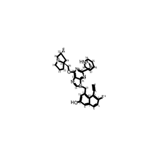 C#Cc1c(F)ccc2cc(O)cc(Cn3cnc4c(OC[C@@]56CCCN5C[C@H](F)C6)nc(N5CC6CCC5CN6)nc43)c12